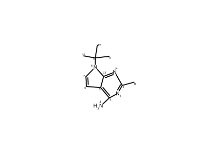 Cc1nc(N)c2ccn(C(C)(C)C)c2n1